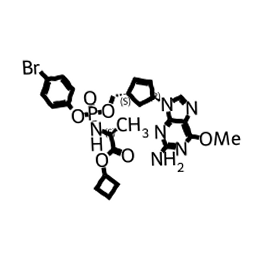 COc1nc(N)nc2c1ncn2[C@H]1C=C[C@@H](COP(=O)(N[C@@H](C)C(=O)OC2CCC2)Oc2ccc(Br)cc2)C1